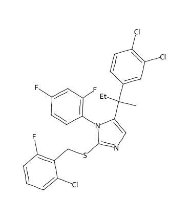 CCC(C)(c1ccc(Cl)c(Cl)c1)c1cnc(SCc2c(F)cccc2Cl)n1-c1ccc(F)cc1F